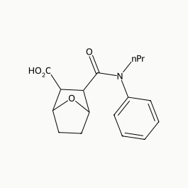 CCCN(C(=O)C1C2CCC(O2)C1C(=O)O)c1ccccc1